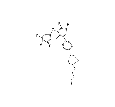 CCCCC[C@H]1CC[C@H](c2ccc(-c3cc(F)c(F)c(Oc4cc(F)c(F)c(F)c4)c3C)cc2)CC1